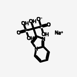 O=P([O-])(O)C(O)(c1cn2ccccc2n1)P(=O)(O)O.[Na+]